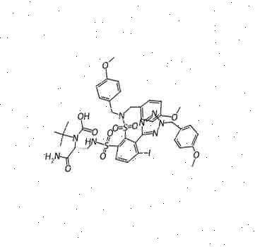 COc1ccc(CN(Cc2ccc(OC)cc2)S(=O)(=O)c2c(S(=O)(=O)NC[C@H](C(N)=O)N(C(=O)O)C(C)(C)C)ccc(I)c2-c2nnn(Cc3ccc(OC)cc3)n2)cc1